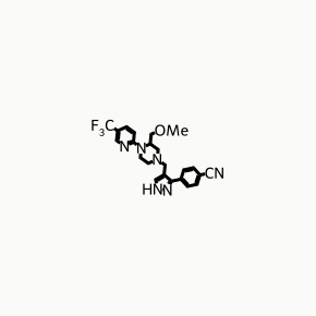 COCC1CN(Cc2c[nH]nc2-c2ccc(C#N)cc2)CCN1c1ccc(C(F)(F)F)cn1